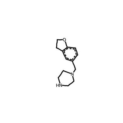 c1cc2c(cc1CN1CCNCC1)CCO2